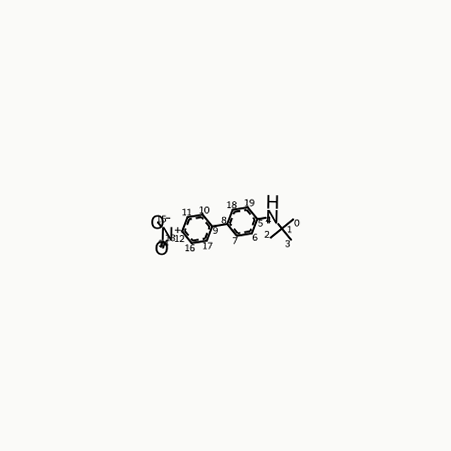 CC(C)(C)Nc1ccc(-c2ccc([N+](=O)[O-])cc2)cc1